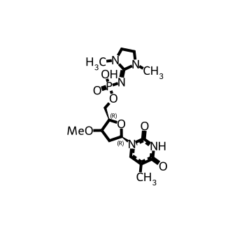 COC1C[C@H](n2cc(C)c(=O)[nH]c2=O)O[C@@H]1COP(=O)(O)N=C1N(C)CCN1C